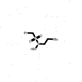 CCCCN(CCC(C)(C)C)S(=O)(=O)CC(C)C